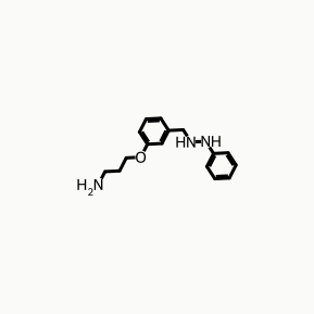 NCCCOc1cccc(CNNc2ccccc2)c1